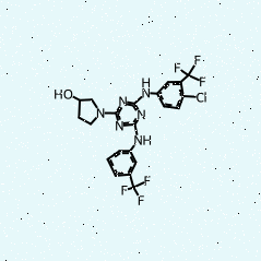 OC1CCN(c2nc(Nc3cccc(C(F)(F)F)c3)nc(Nc3ccc(Cl)c(C(F)(F)F)c3)n2)C1